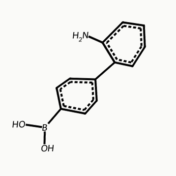 Nc1ccccc1-c1ccc(B(O)O)cc1